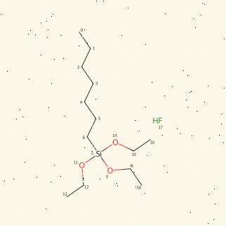 CCCCCCC[Si](OCC)(OCC)OCC.F